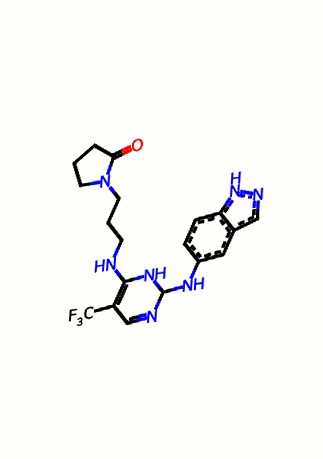 O=C1CCCN1CCCNC1=C(C(F)(F)F)C=NC(Nc2ccc3[nH]ncc3c2)N1